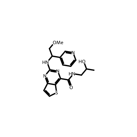 COCC(Nc1nc(C(=O)NCC(C)O)c2sccc2n1)c1cccnc1